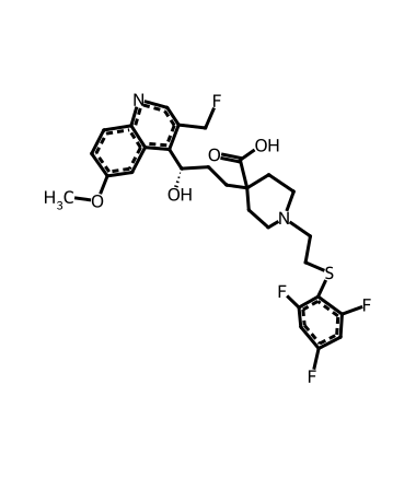 COc1ccc2ncc(CF)c([C@@H](O)CCC3(C(=O)O)CCN(CCSc4c(F)cc(F)cc4F)CC3)c2c1